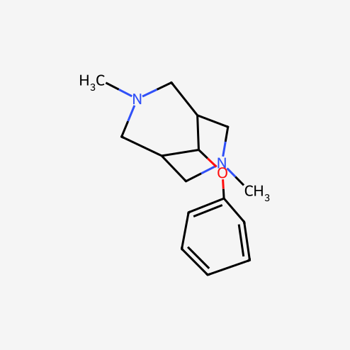 CN1CC2CN(C)CC(C1)C2Oc1ccccc1